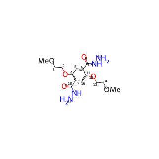 COCCOc1cc(C(=O)NN)c(OCCOC)cc1C(=O)NN